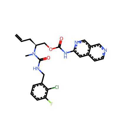 C=CC[C@@H](COC(=O)Nc1cc2ccncc2cn1)N(C)C(=O)NCc1cccc(F)c1Cl